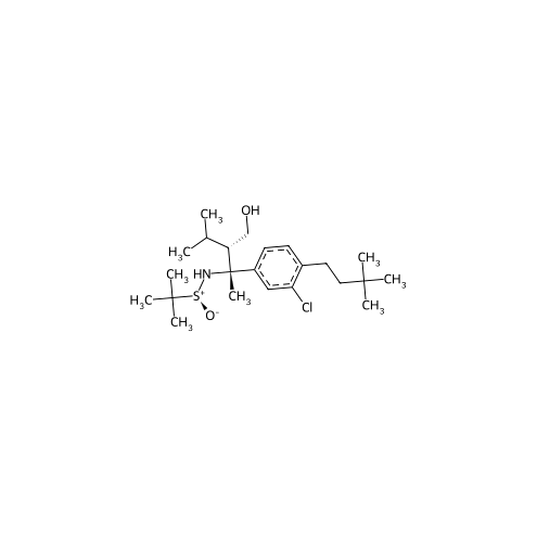 CC(C)[C@H](CO)[C@@](C)(N[S@@+]([O-])C(C)(C)C)c1ccc(CCC(C)(C)C)c(Cl)c1